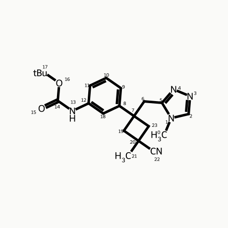 Cn1cnnc1CC1(c2cccc(NC(=O)OC(C)(C)C)c2)CC(C)(C#N)C1